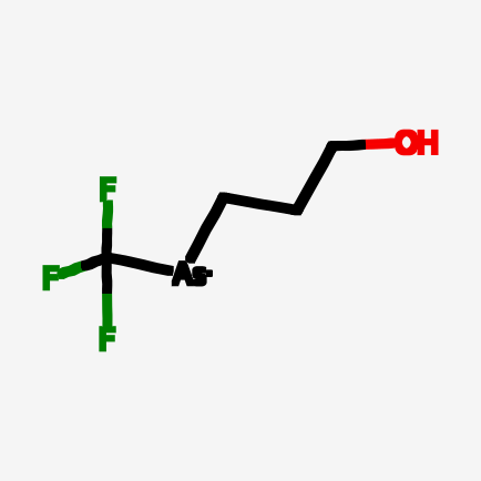 OCCC[As]C(F)(F)F